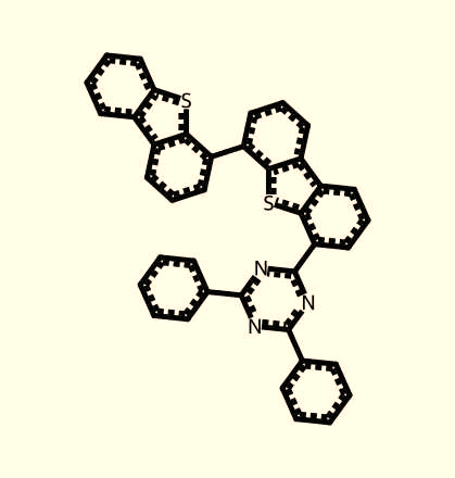 c1ccc(-c2nc(-c3ccccc3)nc(-c3cccc4c3sc3c(-c5cccc6c5sc5ccccc56)cccc34)n2)cc1